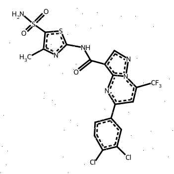 Cc1nc(NC(=O)c2cnn3c(C(F)(F)F)cc(-c4ccc(Cl)c(Cl)c4)nc23)sc1S(N)(=O)=O